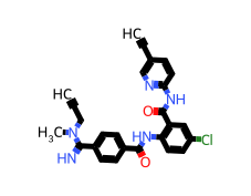 C#CCN(C)C(=N)c1ccc(C(=O)Nc2ccc(Cl)cc2C(=O)Nc2ccc(C#C)cn2)cc1